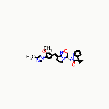 COc1cc(/C=C2\CCCN3C2=NOC[C@@H]3CNC(=O)C2(c3ccccc3)CC2)ccc1-n1cnc(C)c1